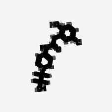 CC(C)(O)C(C)(C)N1C=CC(NC(=O)Cc2cc(Cl)ccc2O)=CC1